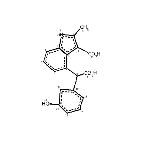 Cc1[nH]c2cccc(C(C(=O)O)c3cccc(O)c3)c2c1C(=O)O